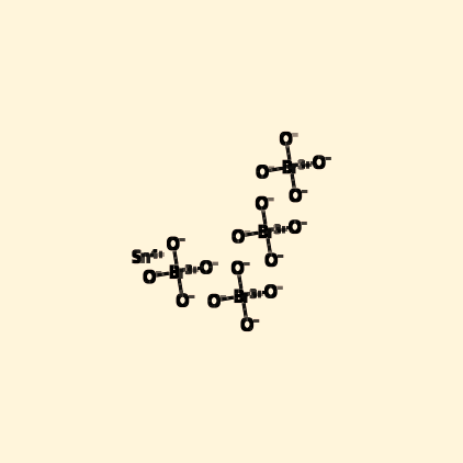 [O-][Br+3]([O-])([O-])[O-].[O-][Br+3]([O-])([O-])[O-].[O-][Br+3]([O-])([O-])[O-].[O-][Br+3]([O-])([O-])[O-].[Sn+4]